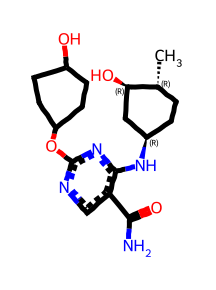 C[C@@H]1CC[C@@H](Nc2nc(OC3CCC(O)CC3)ncc2C(N)=O)C[C@H]1O